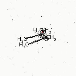 C=C(C)C(=O)OCC(C)CCCCCCCCCCCCCC.C=C(C)C(=O)OCCCCCCCCCCCCCCCC